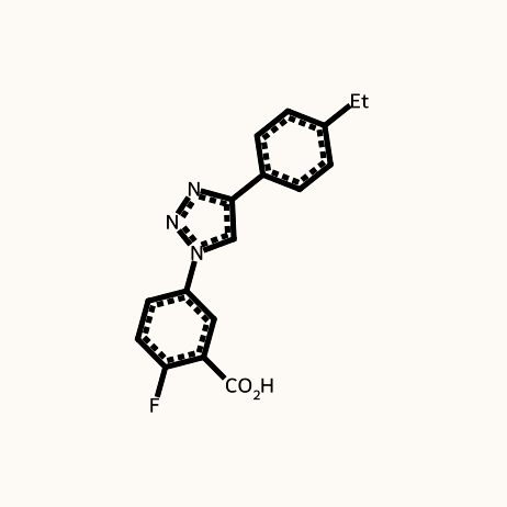 CCc1ccc(-c2cn(-c3ccc(F)c(C(=O)O)c3)nn2)cc1